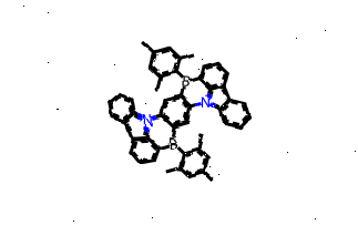 Cc1cc(C)c(B2c3cc4c(cc3-n3c5ccccc5c5cccc2c53)B(c2c(C)cc(C)cc2C)c2cccc3c5ccccc5n-4c23)c(C)c1